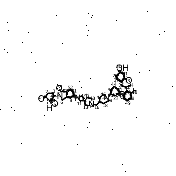 O=C1CCC(N2Cc3cc(N4CC5(CCN(CC6CCN(c7ccc([C@@H]8c9ccc(O)cc9OC[C@@H]8c8c(F)cccc8F)cc7)CC6)CC5)C4)ccc3C2=O)C(=O)N1